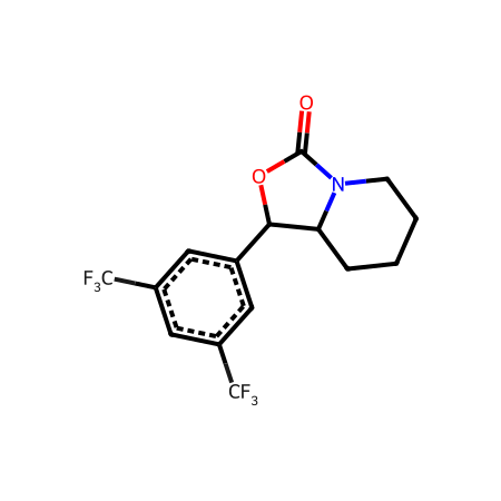 O=C1OC(c2cc(C(F)(F)F)cc(C(F)(F)F)c2)C2CCCCN12